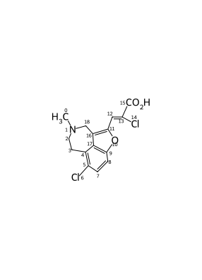 CN1CCc2c(Cl)ccc3oc(/C=C(\Cl)C(=O)O)c(c23)C1